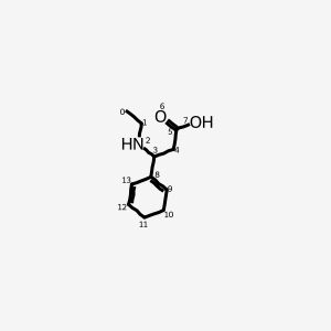 CCNC(CC(=O)O)C1=CCCC=C1